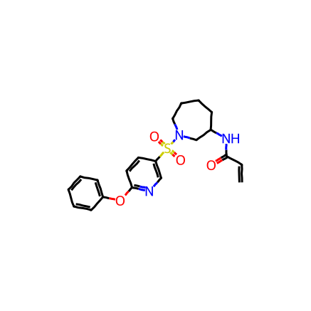 C=CC(=O)NC1CCCCN(S(=O)(=O)c2ccc(Oc3ccccc3)nc2)C1